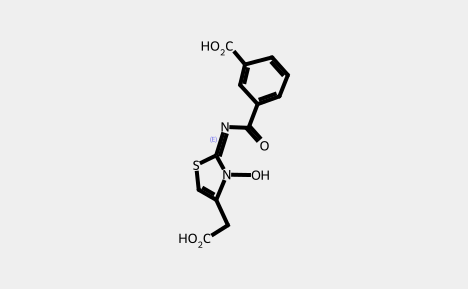 O=C(O)Cc1cs/c(=N/C(=O)c2cccc(C(=O)O)c2)n1O